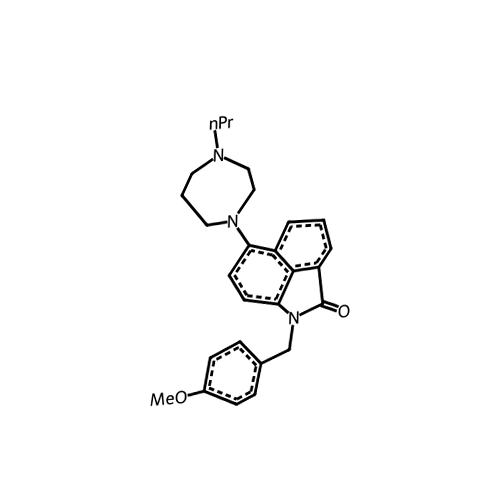 CCCN1CCCN(c2ccc3c4c(cccc24)C(=O)N3Cc2ccc(OC)cc2)CC1